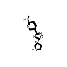 CNc1ccc(-c2noc([C@@H]3CCNC3)n2)cn1